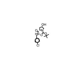 CC(C)(C)OC(=O)N1C[C@H](O)C[C@H]1C(=O)NCc1ccc(Cl)cc1